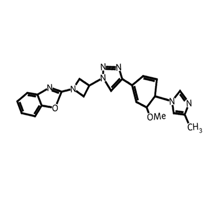 COC1C=C(c2cn(C3CN(c4nc5ccccc5o4)C3)nn2)C=CC1n1cnc(C)c1